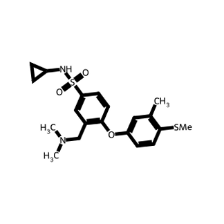 CSc1ccc(Oc2ccc(S(=O)(=O)NC3CC3)cc2CN(C)C)cc1C